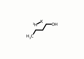 CCCCO.[3H][K]